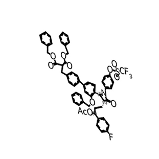 CC(=O)O[C@@H](CC[C@H]1C(=O)N(c2ccc(OS(=O)(=O)C(F)(F)F)cc2)[C@@H]1c1ccc(-c2ccc(CC(C(=O)OCc3ccccc3)C(=O)OCc3ccccc3)cc2)cc1OCc1ccccc1)c1ccc(F)cc1